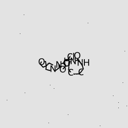 O=C1NCCCCCCCc2c(c(Cl)cc3nc(CN4CCC5(CCOC5)CC4)oc23)N1